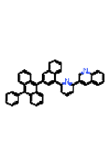 c1ccc(-c2c3ccccc3c(-c3cc(-c4cccc(-c5cnc6ccccc6c5)n4)c4ccccc4c3)c3ccccc23)cc1